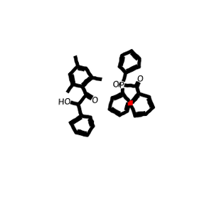 Cc1cc(C)c(C(=O)C(O)c2ccccc2)c(C)c1.O=C(c1ccccc1)P(=O)(c1ccccc1)c1ccccc1